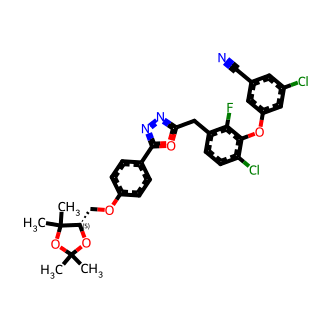 CC1(C)O[C@@H](COc2ccc(-c3nnc(Cc4ccc(Cl)c(Oc5cc(Cl)cc(C#N)c5)c4F)o3)cc2)C(C)(C)O1